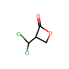 O=C1OCC1C(Cl)Cl